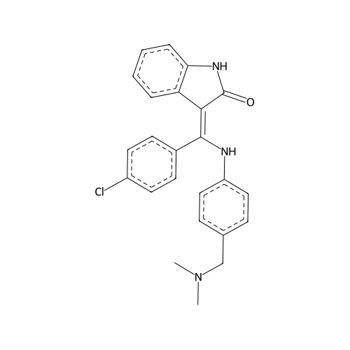 CN(C)Cc1ccc(N/C(=C2\C(=O)Nc3ccccc32)c2ccc(Cl)cc2)cc1